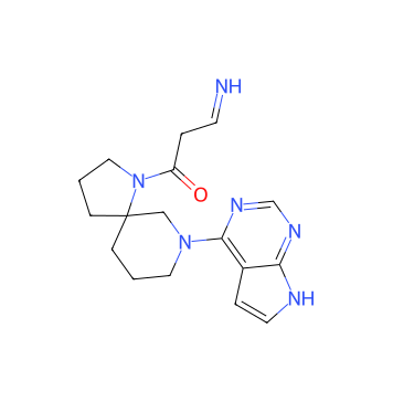 N=CCC(=O)N1CCCC12CCCN(c1ncnc3[nH]ccc13)C2